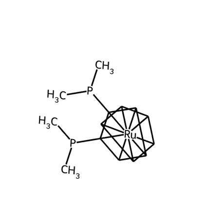 CP(C)[C]12[CH]3[CH]4[CH]5[C]1(P(C)C)[Ru]43521678[CH]2[CH]1[CH]6[CH]7[CH]28